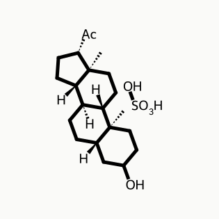 CC(=O)[C@H]1CC[C@H]2[C@@H]3CC[C@H]4CC(O)CC[C@]4(C)[C@H]3CC[C@]12C.O=S(=O)(O)O